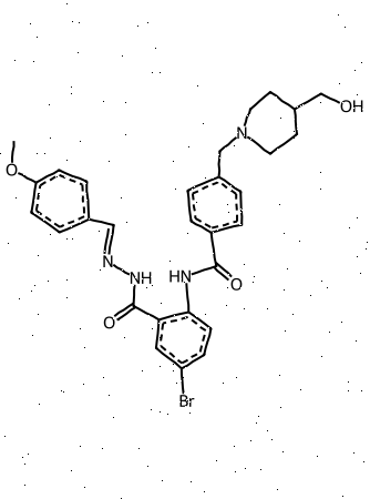 COc1ccc(/C=N/NC(=O)c2cc(Br)ccc2NC(=O)c2ccc(CN3CCC(CO)CC3)cc2)cc1